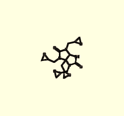 O=C1NC2N(CC3CO3)C(=O)N(CC3CO3)C2(CC2CO2)N1CC1CO1